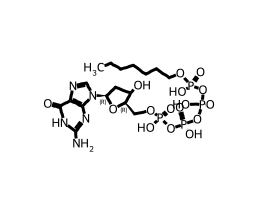 CCCCCCCOP(=O)(O)OP(=O)(O)OP(=O)(O)OP(=O)(O)OC[C@H]1O[C@@H](n2cnc3c(=O)[nH]c(N)nc32)CC1O